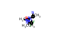 CCN1C(=O)c2nc(-c3ccc(C)c(C#N)c3)n(Cc3ccc(F)cc3F)c2N2C[C@@H](C(C)C)N=C12